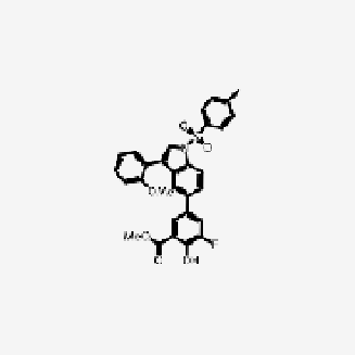 COC(=O)c1cc(-c2ccc3c(c2)c(-c2ccccc2OC)cn3S(=O)(=O)c2ccc(C)cc2)cc(F)c1O